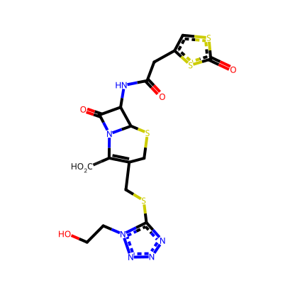 O=C(Cc1csc(=O)s1)NC1C(=O)N2C(C(=O)O)=C(CSc3nnnn3CCO)CSC12